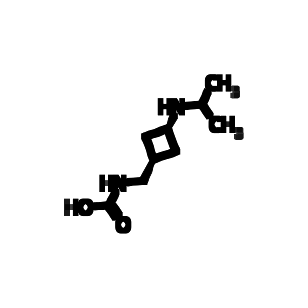 CC(C)N[C@H]1C[C@@H](CNC(=O)O)C1